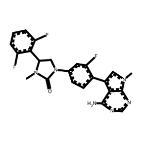 CN1C(=O)N(c2ccc(-c3cn(C)c4ncnc(N)c34)c(F)c2)CC1c1c(F)cccc1F